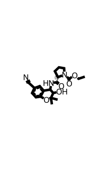 CCOC(=O)N1CCC[C@H]1C(=O)NC1c2cc(C#N)ccc2OC(C)(C)C1O